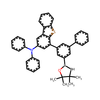 CC1(C)BB(c2cc(-c3ccccc3)cc(-c3cc(N(c4ccccc4)c4ccccc4)cc4c3sc3ccccc34)c2)OC1(C)C